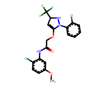 COc1ccc(Cl)c(NC(=O)COC2=CC(C(F)(F)F)NN2c2ccccc2Cl)c1